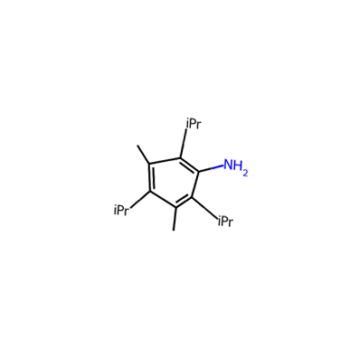 Cc1c(C(C)C)c(C)c(C(C)C)c(N)c1C(C)C